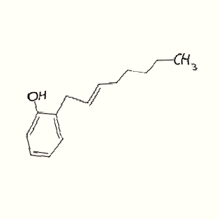 CCCCCC=CCc1ccccc1O